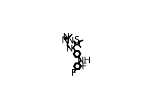 Cc1sc2c(c1C)C(c1ccc(Nc3ccc(F)cc3F)cc1)=NCc1nnc(C)n1-2